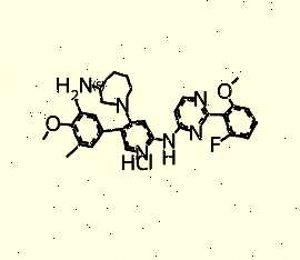 COc1cccc(F)c1-c1nccc(Nc2cc(N3CCC[C@H](N)C3)c(-c3cc(C)c(OC)c(C)c3)cn2)n1.Cl